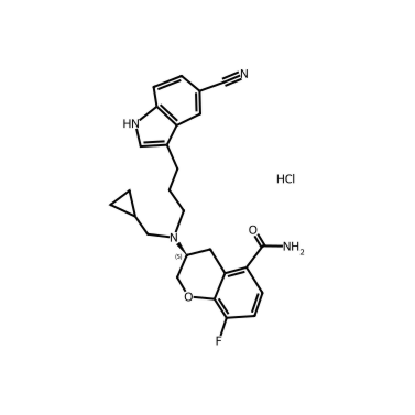 Cl.N#Cc1ccc2[nH]cc(CCCN(CC3CC3)[C@@H]3COc4c(F)ccc(C(N)=O)c4C3)c2c1